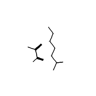 C=C(C)C(=O)O.CCCCCC(C)O